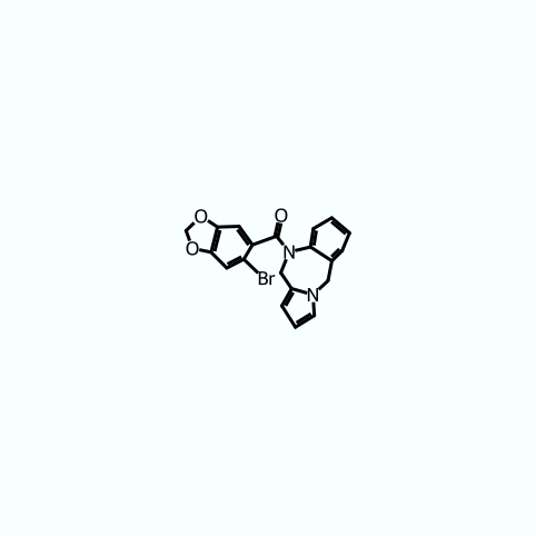 O=C(c1cc2c(cc1Br)OCO2)N1Cc2cccn2Cc2ccccc21